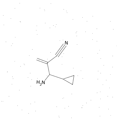 C=C(C#N)C(N)C1CC1